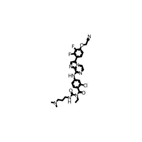 CCN(C(=O)NCCCN(C)C)C(=O)c1ccc(Nc2nccn3c(-c4ccc(OCC#N)c(F)c4F)cnc23)cc1Cl